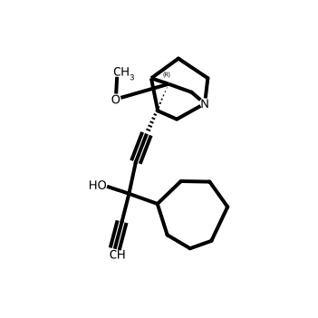 C#CC(O)(C#C[C@@]1(OC)CN2CCC1CC2)C1CCCCCC1